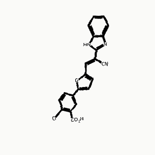 N#C/C(=C\c1ccc(-c2ccc(Cl)c(C(=O)O)c2)o1)c1nc2ccccc2[nH]1